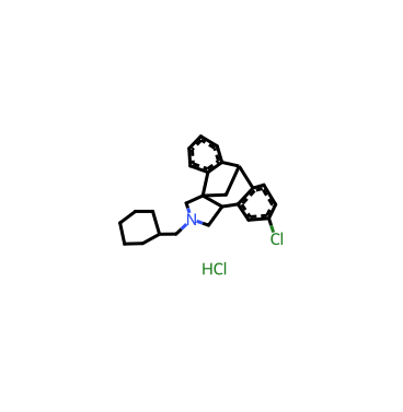 Cl.Clc1ccc2c(c1)C1CN(CC3CCCCC3)CC13CC2c1ccccc13